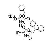 CC(C)[C@@H](C(=O)OC[C@@H](NC(=O)OC(C)(C)C)C(=O)OCc1ccccc1)N(C)C(=O)OCC1c2ccccc2-c2ccccc21